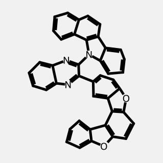 c1ccc2c(c1)ccc1c3ccccc3n(-c3nc4ccccc4nc3-c3ccc4oc5ccc6oc7ccccc7c6c5c4c3)c21